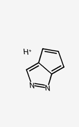 C1=CC2=CN=NC2=C1.[H+]